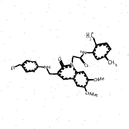 CCc1ccc(NCc2cc3cc(OC)c(OC)cc3n(CC(=O)Nc3cc(C)ccc3C)c2=O)cc1